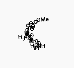 COc1ccc(COc2cccc(COc3cc(C(=O)Nc4cc([C@H]5CC[C@@H](OC(=O)NC(C)C)C5)[nH]n4)n(C)n3)c2C2OCCO2)cc1